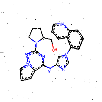 OCC1CCCN1c1nc(Nc2cn(-c3cccc4ncccc34)cn2)c2cccn2n1